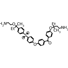 CCC(C)(CCN)Oc1ccc(C(=O)c2ccc(Oc3ccc(S(=O)(=O)c4ccc(C(C)(CC)OCCN)cc4)cc3)cc2)cc1